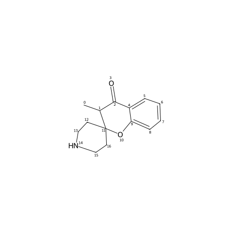 CC1C(=O)c2ccccc2OC12CCNCC2